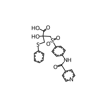 O=C(Nc1ccc(S(=O)(=O)CC(O)(CSc2ccccc2)C(=O)O)cc1)c1ccncc1